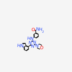 NC(=O)c1cccc(Nc2nc(-c3cccc4[nH]ccc34)nc(N3CCOCC3)n2)c1